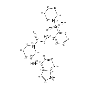 O=C(CNc1ccccc1S(=O)(=O)N1CCCCC1)N1CCC[C@@H](Nc2ncnc3[nH]ccc23)C1